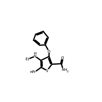 CCCc1sc(C(N)=O)c(Oc2ccccc2)c1NCC